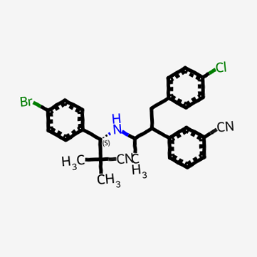 CC(N[C@@H](c1ccc(Br)cc1)C(C)(C)C#N)C(Cc1ccc(Cl)cc1)c1cccc(C#N)c1